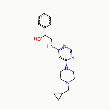 OC(CNc1cc(N2CCN(CC3CC3)CC2)ncn1)c1ccccc1